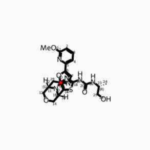 COc1cccc(-c2cnc(N3[C@@H]4COC[C@H]3c3sc(NC(=O)N[C@H](C)CO)nc3C4)o2)n1